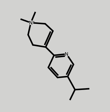 CC(C)c1ccc(C2=CC[N+](C)(C)CC2)nc1